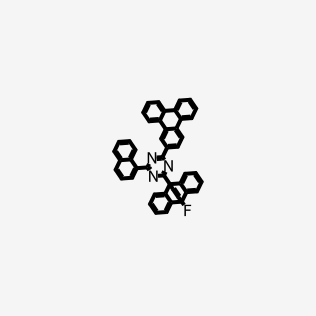 FC12C=CC(c3nc(-c4ccc5c6ccccc6c6ccccc6c5c4)nc(-c4cccc5ccccc45)n3)(c3ccccc31)c1ccccc12